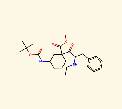 CCNC(Cc1ccccc1)C(=O)C1(C(=O)OC)CCCC(NC(=O)OC(C)(C)C)C1